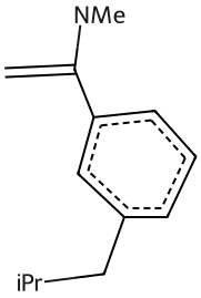 C=C(NC)c1cccc(CC(C)C)c1